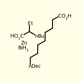 CCCCC(CC)C(=O)O.CCCCCCCCCCCCCCCCCC(=O)O.[BiH3].[Zn]